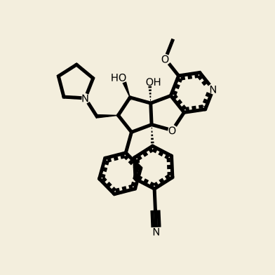 COc1cncc2c1[C@]1(O)[C@H](O)[C@H](CN3CCCC3)C(c3ccccc3)[C@]1(c1ccc(C#N)cc1)O2